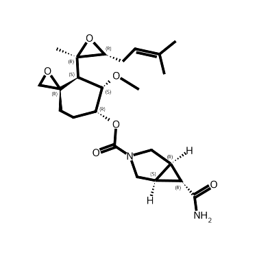 CO[C@@H]1[C@H](OC(=O)N2C[C@@H]3[C@H](C2)[C@H]3C(N)=O)CC[C@]2(CO2)[C@H]1[C@@]1(C)O[C@@H]1CC=C(C)C